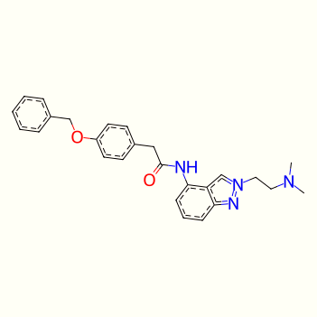 CN(C)CCn1cc2c(NC(=O)Cc3ccc(OCc4ccccc4)cc3)cccc2n1